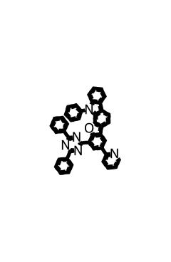 c1ccc(-c2nc(-c3ccccc3)nc(-c3cc(-c4ccccn4)cc4c3oc3c4ccc4c5ccccc5n(-c5ccccc5)c43)n2)cc1